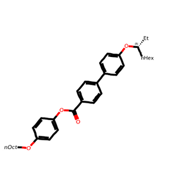 CCCCCCCCOc1ccc(OC(=O)c2ccc(-c3ccc(O[C@H](CC)CCCCCC)cc3)cc2)cc1